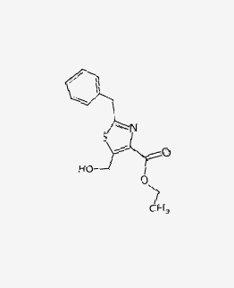 CCOC(=O)c1nc(Cc2ccccc2)sc1CO